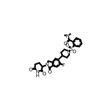 CN(C)C(=O)c1ccccc1S(=O)(=O)N1CCC(c2cc3c(cc2F)C(=O)N(C2CCC(=O)NC2=O)C3)CC1